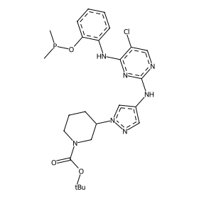 CP(C)Oc1ccccc1Nc1nc(Nc2cnn(C3CCCN(C(=O)OC(C)(C)C)C3)c2)ncc1Cl